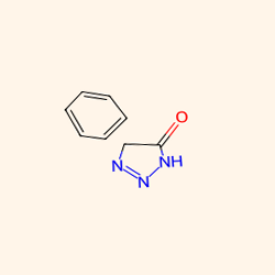 O=C1CN=NN1.c1ccccc1